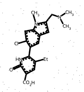 CCc1cc(C(=O)O)c(=O)[nH]c1-c1cc2cc(CN(C)C)n(C)c2cc1Cl